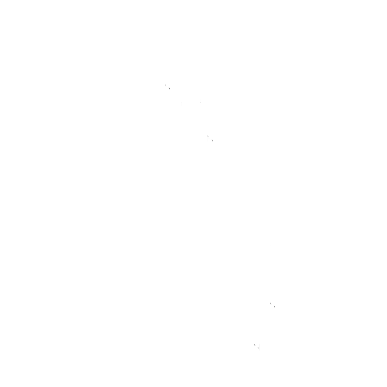 O=C(Cc1ccc(-c2ccc(OCCN3CCN(CO)CC3)cc2F)cn1)NCc1cccc(F)c1